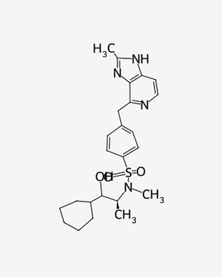 Cc1nc2c(Cc3ccc(S(=O)(=O)N(C)[C@@H](C)C(O)C4CCCCC4)cc3)nccc2[nH]1